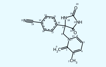 C=C1C(C)=CC=CN1CC1(c2ccc(C#N)cc2)NC(=O)NC1=O